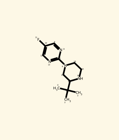 CC(C)(C)C1CN(c2ncc(F)cn2)CCN1